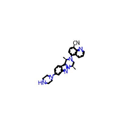 C[C@@H]1c2c3ccc(N4CCNCC4)cc3nn2[C@H](C)CN1c1ccc(C#N)c2ncccc12